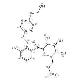 CC(=O)OC[C@H]1O[C@@H](n2cc(Cc3ccc(CCO)cc3)c3c(Cl)cccc32)[C@H](O)[C@@H](O)[C@@H]1O